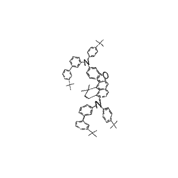 CC(C)(C)c1ccc(N(c2cccc(-c3cccc(C(C)(C)C)c3)c2)c2ccc3c(c2)oc2cc4ccc(N(c5ccc(C(C)(C)C)cc5)c5cccc(-c6cccc(C(C)(C)C)c6)c5)c5c4c(c23)C(C)(C)CC5)cc1